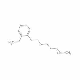 CCc1ccccc1CCCCCCNC